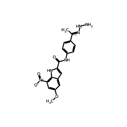 COc1cc([N+](=O)[O-])c2[nH]c(C(=O)Nc3ccc(/C(C)=N/NN)cc3)cc2c1